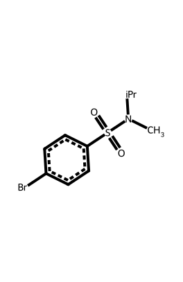 CC(C)N(C)S(=O)(=O)c1ccc(Br)cc1